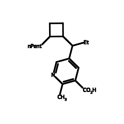 CCCCCC1CCC1C(CC)c1cnc(C)c(C(=O)O)c1